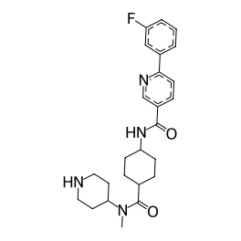 CN(C(=O)C1CCC(NC(=O)c2ccc(-c3cccc(F)c3)nc2)CC1)C1CCNCC1